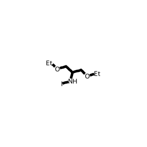 CCOCC(COCC)NI